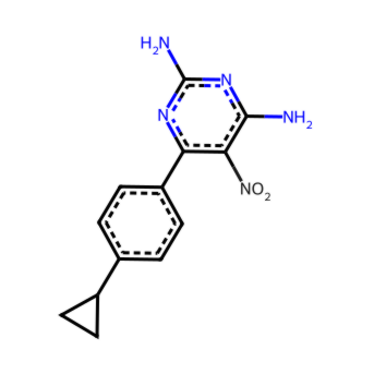 Nc1nc(N)c([N+](=O)[O-])c(-c2ccc(C3CC3)cc2)n1